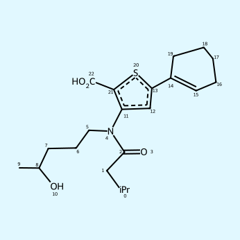 CC(C)CC(=O)N(CCCC(C)O)c1cc(C2=CCCCC2)sc1C(=O)O